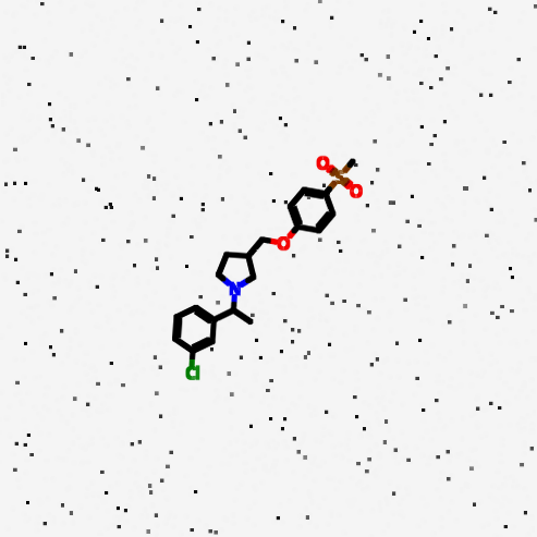 CC(c1cccc(Cl)c1)N1CCC(COc2ccc(S(C)(=O)=O)cc2)C1